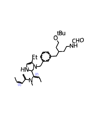 C=C(/C=C\C)N(C)/C(=C\C)C1NC=C(CC)N1Cc1cccc(CC(CCNC=O)CCOC(C)(C)C)c1